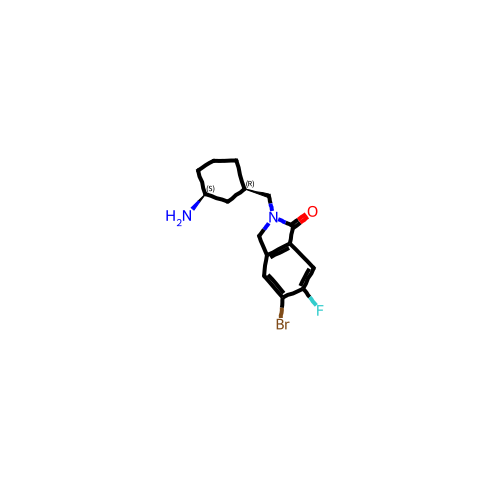 N[C@H]1CCC[C@@H](CN2Cc3cc(Br)c(F)cc3C2=O)C1